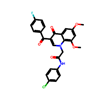 COc1cc(OC)c2c(c1)c(=O)c(C(=O)c1ccc(F)cc1)cn2CC(=O)Nc1ccc(Cl)cc1